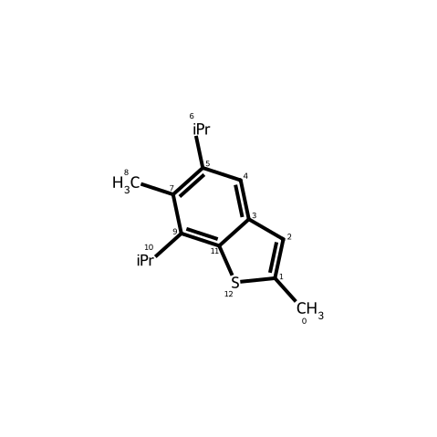 Cc1cc2cc(C(C)C)c(C)c(C(C)C)c2s1